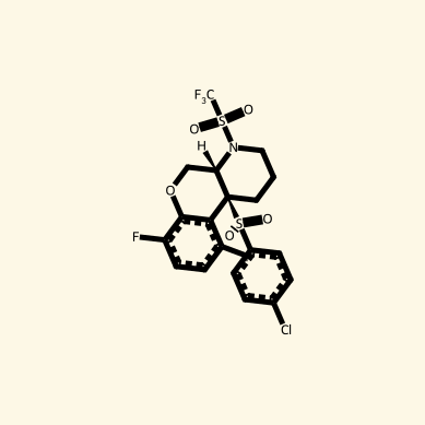 O=S(=O)(N1CCC[C@]2(S(=O)(=O)c3ccc(Cl)cc3)c3c(F)ccc(F)c3OC[C@H]12)C(F)(F)F